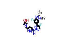 Cc1nc2c(F)cc(-c3nc(Nc4ccc(CN5CC(O)C5)nn4)ncc3F)cc2n1C(C)C